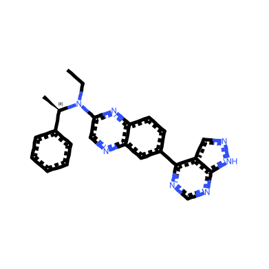 CCN(c1cnc2cc(-c3ncnc4[nH]ncc34)ccc2n1)[C@H](C)c1ccccc1